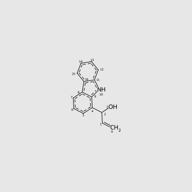 C=CC(O)c1cccc2c1[nH]c1ccccc12